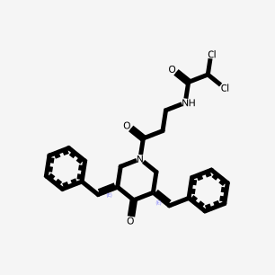 O=C1/C(=C/c2ccccc2)CN(C(=O)CCNC(=O)C(Cl)Cl)C/C1=C\c1ccccc1